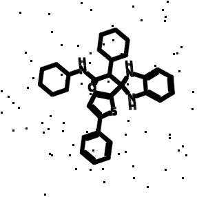 O=C(NC1CCCCC1)C(C1CCCCC1)C1(c2ccc(-c3ccccc3)s2)Nc2ccccc2N1